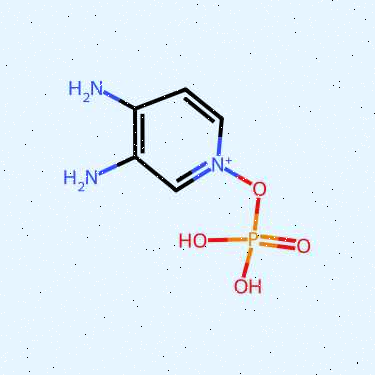 Nc1cc[n+](OP(=O)(O)O)cc1N